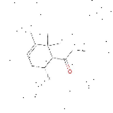 CCC(=O)[C@@H]1[C@H](C)CC=C(C)C1(C)C